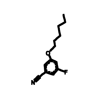 CCCCCCOc1cc(F)cc(C#N)c1